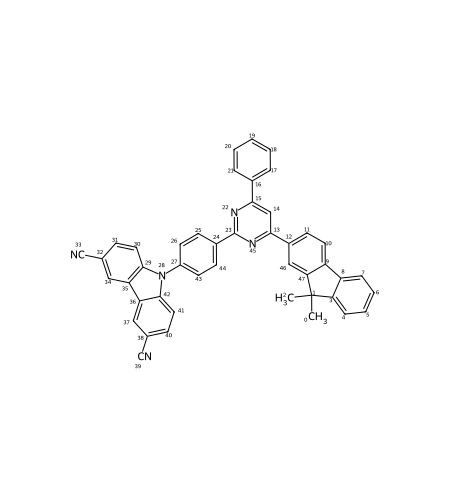 CC1(C)c2ccccc2-c2ccc(-c3cc(-c4ccccc4)nc(-c4ccc(-n5c6ccc(C#N)cc6c6cc(C#N)ccc65)cc4)n3)cc21